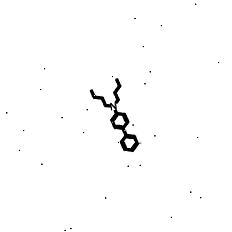 CCCCN(CCCC)c1ccc(-c2[c]cc[c]c2)cc1